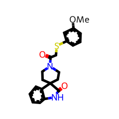 COc1cccc(SCC(=O)N2CCC3(CC2)C(=O)Nc2ccccc23)c1